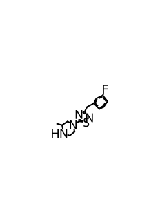 CC1CN(c2nc(Cc3cccc(F)c3)ns2)CCN1